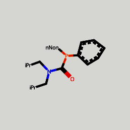 CCCCCCCCCP(C(=O)N(CC(C)C)CC(C)C)c1ccccc1